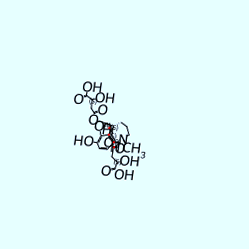 CN1CCC[C@]23c4c5ccc(O)c4O[C@H]2C(OC(=O)C[C@H](O)C(=O)O)=CC[C@@]3(OC(=O)C[C@H](O)C(=O)O)[C@H]1C5